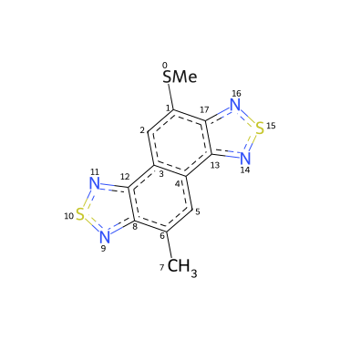 CSc1cc2c(cc(C)c3nsnc32)c2nsnc12